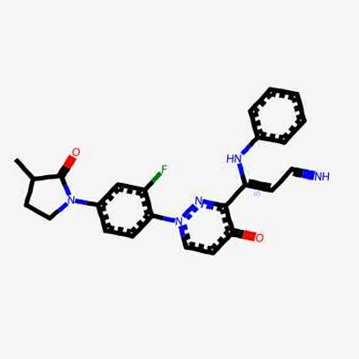 CC1CCN(c2ccc(-n3ccc(=O)c(/C(=C/C=N)Nc4ccccc4)n3)c(F)c2)C1=O